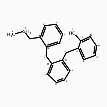 C[SiH2]Cc1ccccc1Cc1ccccc1Cc1ccccc1O